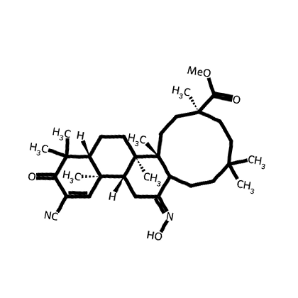 COC(=O)[C@@]1(C)CCC(C)(C)CCC2C(=NO)C[C@@H]3[C@@]4(C)C=C(C#N)C(=O)C(C)(C)[C@@H]4CC[C@@]3(C)[C@]2(C)CC1